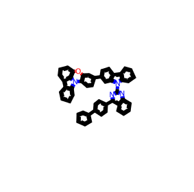 c1ccc(-c2ccc(-c3nc(-n4c5ccccc5c5ccc(-c6ccc7c(c6)Oc6cccc8c9ccccc9n-7c68)cc54)nc4ccccc34)cc2)cc1